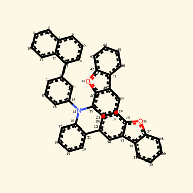 c1cc(-c2cccc3ccccc23)cc(N(c2ccccc2-c2ccc3oc4ccccc4c3c2)c2cccc3c2oc2ccccc23)c1